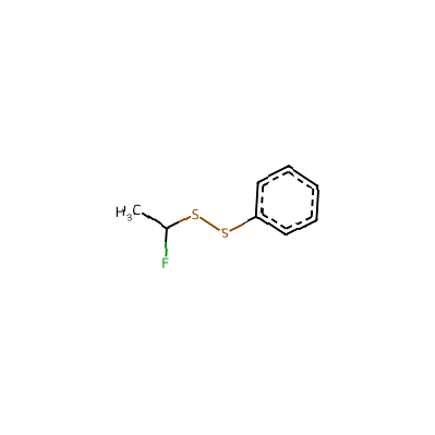 CC(F)SSc1ccccc1